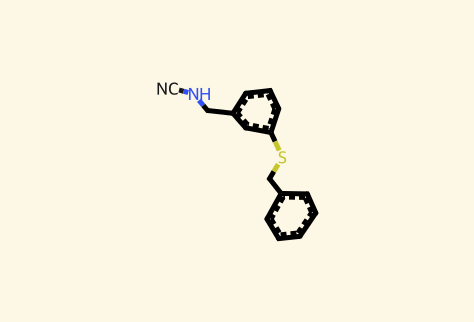 N#CNCc1cccc(SCc2ccccc2)c1